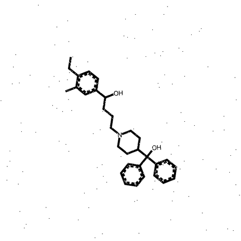 [CH2]Cc1ccc(C(O)CCCN2CCC(C(O)(c3ccccc3)c3ccccc3)CC2)cc1C